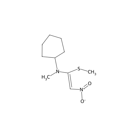 CSC(=C[N+](=O)[O-])N(C)C1CCCCC1